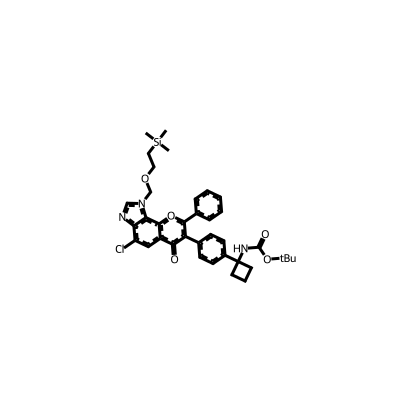 CC(C)(C)OC(=O)NC1(c2ccc(-c3c(-c4ccccc4)oc4c(cc(Cl)c5ncn(COCC[Si](C)(C)C)c54)c3=O)cc2)CCC1